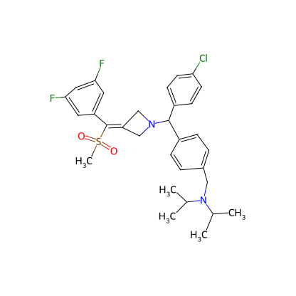 CC(C)N(Cc1ccc(C(c2ccc(Cl)cc2)N2CC(=C(c3cc(F)cc(F)c3)S(C)(=O)=O)C2)cc1)C(C)C